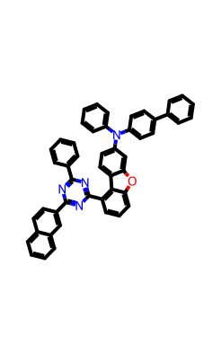 c1ccc(-c2ccc(N(c3ccccc3)c3ccc4c(c3)oc3cccc(-c5nc(-c6ccccc6)nc(-c6ccc7ccccc7c6)n5)c34)cc2)cc1